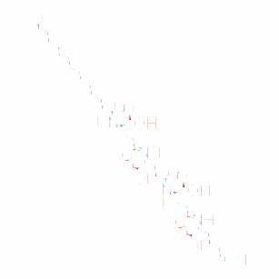 O=CCCCCCCCCCCCCC(=O)N[C@@H](CCC(=O)NC(CCC(=O)N[C@@H](CCC(=O)NC(CCCCO)C(=O)O)C(=O)O)C(=O)O)C(=O)O